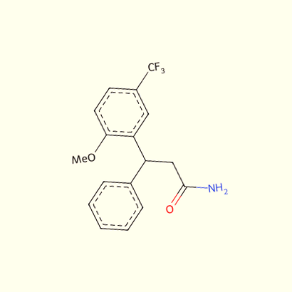 COc1ccc(C(F)(F)F)cc1C(CC(N)=O)c1ccccc1